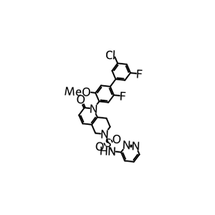 COc1cc(-c2cc(F)cc(Cl)c2)c(F)cc1-n1c2c(ccc1=O)CN(S(=O)(=O)Nc1cccnn1)CC2